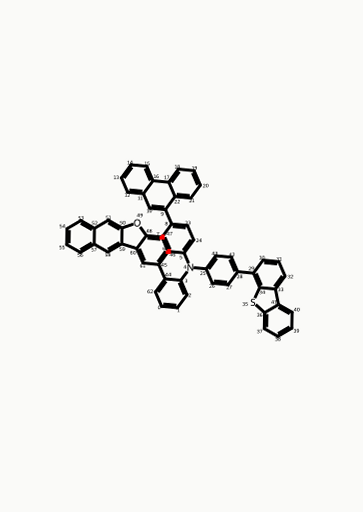 c1ccc(N(c2ccc(-c3cc4ccccc4c4ccccc34)cc2)c2ccc(-c3cccc4c3sc3ccccc34)cc2)c(-c2ccc3oc4cc5ccccc5cc4c3c2)c1